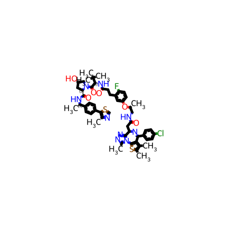 Cc1ncsc1-c1ccc([C@H](C)NC(=O)[C@@H]2C[C@@H](O)CN2C(=O)[C@@H](NC(=O)CCc2cc(OC(C)CNC(=O)CC3N=C(c4ccc(Cl)cc4)c4c(sc(C)c4C)-n4c(C)nnc43)ccc2F)C(C)(C)C)cc1